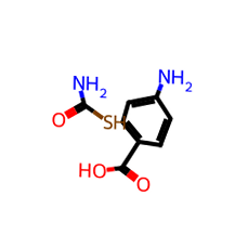 NC(=O)S.Nc1ccc(C(=O)O)cc1